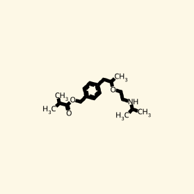 CC(C)NCCOC(C)Cc1ccc(COC(=O)C(C)C)cc1